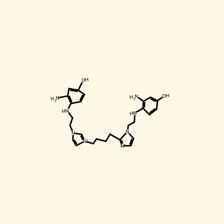 Nc1cc(O)ccc1NCCN1C=C[N+]=C1CCCC[n+]1ccn(CCNc2ccc(O)cc2N)c1